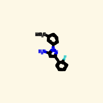 CCOC(=O)c1cccc(-n2nc(-c3ccccc3F)cc2N)c1